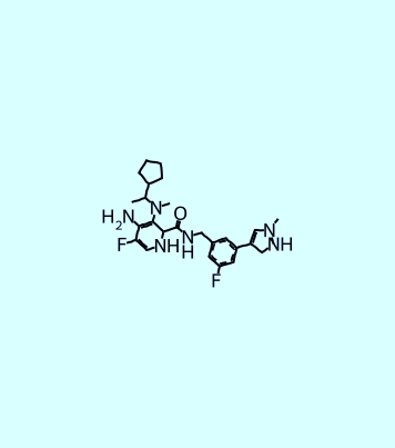 CC(C1CCCC1)N(C)C1=C(N)C(F)=CNC1C(=O)NCc1cc(F)cc(C2=CN(C)NC2)c1